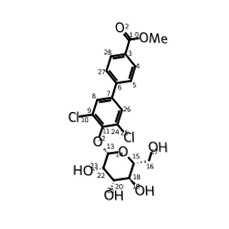 COC(=O)c1ccc(-c2cc(Cl)c(O[C@@H]3O[C@H](CO)[C@@H](O)[C@H](O)[C@@H]3O)c(Cl)c2)cc1